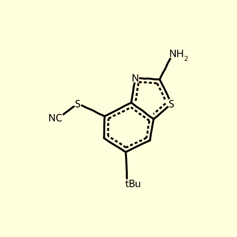 CC(C)(C)c1cc(SC#N)c2nc(N)sc2c1